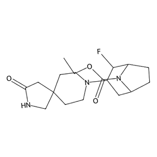 CCOC(=O)N1C2CCC1C(F)C(N1CCC3(CC1)CNC(=O)C3)C2